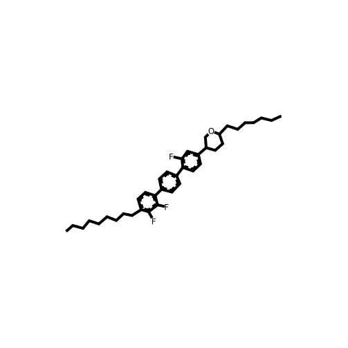 CCCCCCCCCc1ccc(-c2ccc(-c3ccc(C4CCC(CCCCCCC)OC4)cc3F)cc2)c(F)c1F